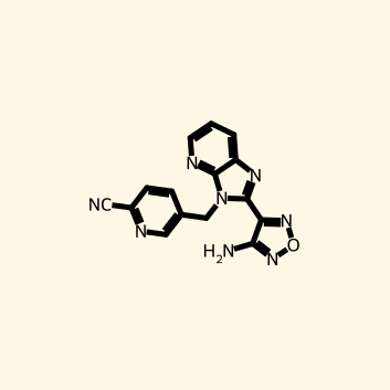 N#Cc1ccc(Cn2c(-c3nonc3N)nc3cccnc32)cn1